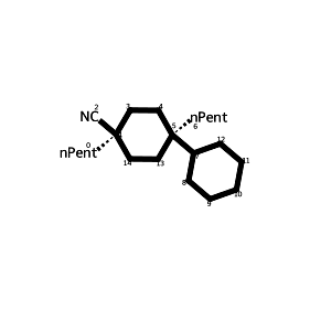 CCCCC[C@]1(C#N)CC[C@@](CCCCC)(C2CCCCC2)CC1